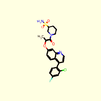 CC(Oc1ccc2c(-c3ccc(F)cc3Cl)ccnc2c1)C(=O)N1CCCC(S(N)(=O)=O)C1